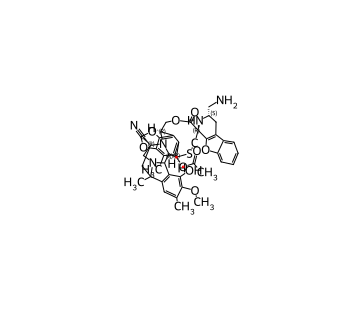 COc1c(C)cc2c(c1O)C1[C@@H]3[C@@H]4SC[C@]5(N[C@H](CN)Cc6c5oc5ccccc65)C(=O)OC[C@@H](c5c6c(c(C)c(OC(C)=O)c54)OCO6)N3[C@@]3(C#N)CN1C2(C)C3